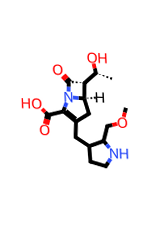 COCC1NCCC1CC1=C(C(=O)O)N2C(=O)[C@H]([C@@H](C)O)[C@H]2C1